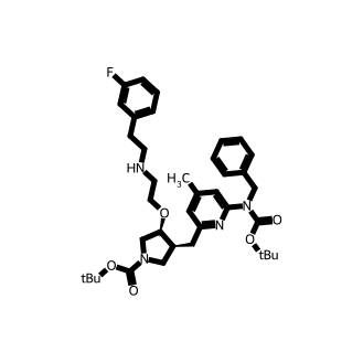 Cc1cc(C[C@H]2CN(C(=O)OC(C)(C)C)C[C@H]2OCCNCCc2cccc(F)c2)nc(N(Cc2ccccc2)C(=O)OC(C)(C)C)c1